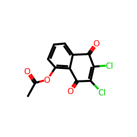 CC(=O)Oc1cccc2c1C(=O)C(Cl)=C(Cl)C2=O